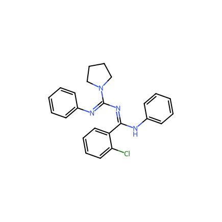 Clc1ccccc1/C(=N\C(=N\c1ccccc1)N1CCCC1)Nc1ccccc1